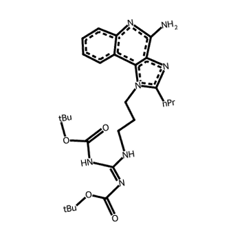 CCCc1nc2c(N)nc3ccccc3c2n1CCCNC(=NC(=O)OC(C)(C)C)NC(=O)OC(C)(C)C